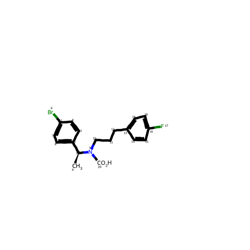 C[C@@H](c1ccc(Br)cc1)N(CCCc1ccc(F)cc1)C(=O)O